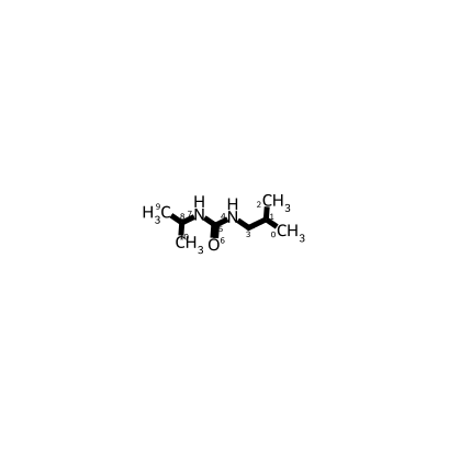 CC(C)[CH]NC(=O)NC(C)C